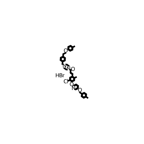 Br.Cc1ccc(COc2ccc(Oc3cc(C)c(C=CC(=O)N4CCN(Cc5ccc(CCOc6ccc(C)cc6)cc5)CC4)cc3Cl)nc2)cc1